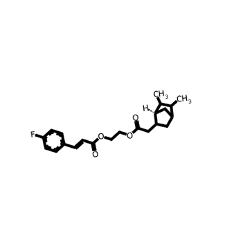 CC1C2CC(CC(=O)OCCOC(=O)/C=C/c3ccc(F)cc3)[C@H](C2)C1C